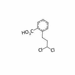 O=C(O)c1ccccc1CCC(Cl)Cl